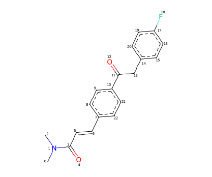 CN(C)C(=O)/C=C/c1ccc(C(=O)Cc2ccc(F)cc2)cc1